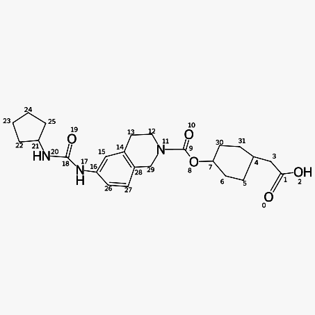 O=C(O)CC1CCC(OC(=O)N2CCc3cc(NC(=O)NC4CCCC4)ccc3C2)CC1